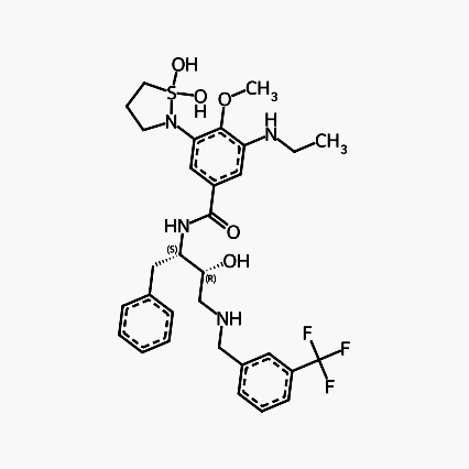 CCNc1cc(C(=O)N[C@@H](Cc2ccccc2)[C@H](O)CNCc2cccc(C(F)(F)F)c2)cc(N2CCCS2(O)O)c1OC